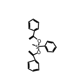 C=C(O[Si](C)(OC(=C)c1ccccc1)c1ccccc1)c1ccccc1